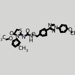 Cc1ccc(OCC(F)(F)F)c(N2C(=O)CS/C2=N\C(=O)NOCc2ccc(-c3ncn(-c4ccc(OC(F)(F)F)cc4)n3)cc2)c1